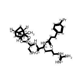 CC(C)C[C@H](NC(=O)[C@H](CCCNC(=N)N)NC(=O)CCc1ccc(C(C)C)cc1)B1O[C@@H]2C[C@@H]3C[C@@H](C3(C)C)[C@]2(C)O1